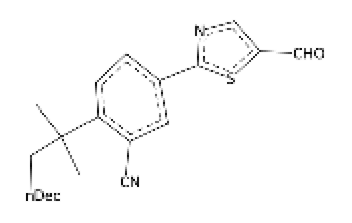 CCCCCCCCCCCC(C)(C)c1ccc(-c2ncc(C=O)s2)cc1C#N